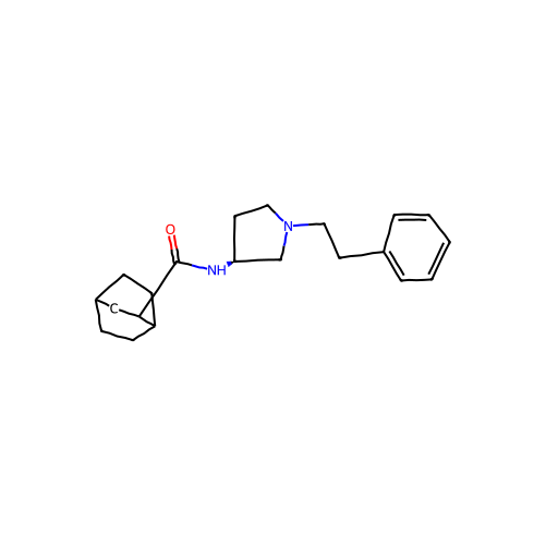 O=C(N[C@H]1CCN(CCc2ccccc2)C1)C1CC2CCC1CC2